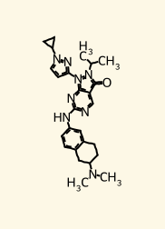 CC(C)n1c(=O)c2cnc(Nc3ccc4c(c3)CCC(N(C)C)C4)nc2n1-c1ccn(C2CC2)n1